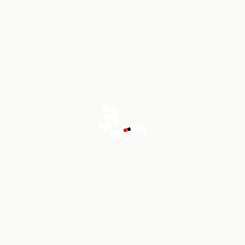 C.[GeH4].[O]=[GeH2].[SiH4].[SiH4]